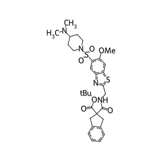 COc1cc2sc(CNC(=O)C3(C(=O)OC(C)(C)C)Cc4ccccc4C3)nc2cc1S(=O)(=O)N1CCC(N(C)C)CC1